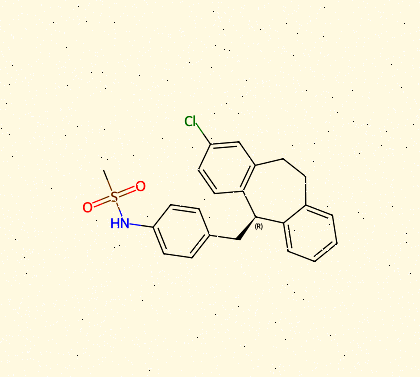 CS(=O)(=O)Nc1ccc(C[C@@H]2c3ccccc3CCc3cc(Cl)ccc32)cc1